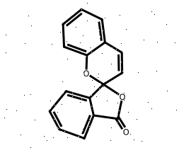 O=C1OC2(C=Cc3ccccc3O2)c2ccccc21